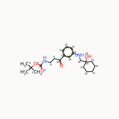 CC(C)(C)OC(=O)NCCC(=O)c1cccc(NCC2(O)CCCCC2)c1